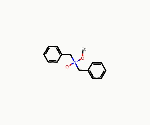 CCO[N+]([O-])(Cc1ccccc1)Cc1ccccc1